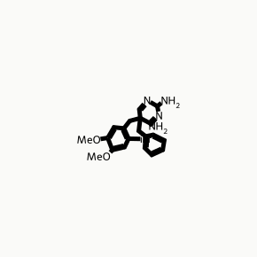 COc1cc(CC2(Cc3ccccc3)C=NC(N)N=C2N)c(C(C)C)cc1OC